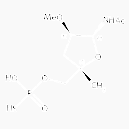 CO[C@@H]1C[C@@](C)(COP(=O)(O)S)O[C@H]1NC(C)=O